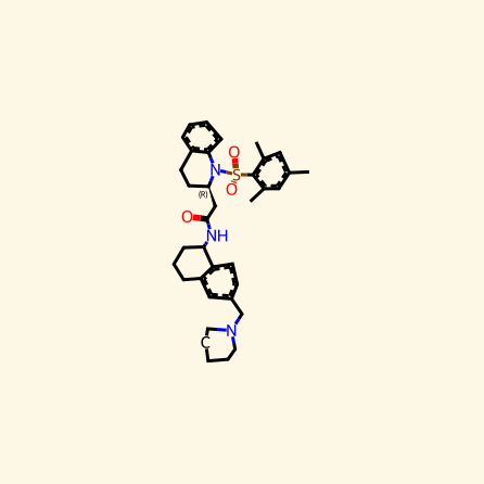 Cc1cc(C)c(S(=O)(=O)N2c3ccccc3CC[C@@H]2CC(=O)NC2CCCc3cc(CN4CCCCC4)ccc32)c(C)c1